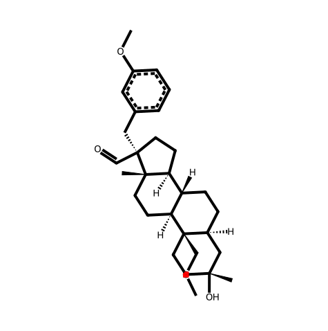 COC[C@]12CC[C@@](C)(O)C[C@@H]1CC[C@@H]1[C@@H]2CC[C@@]2(C)[C@H]1CC[C@@]2(C=O)Cc1cccc(OC)c1